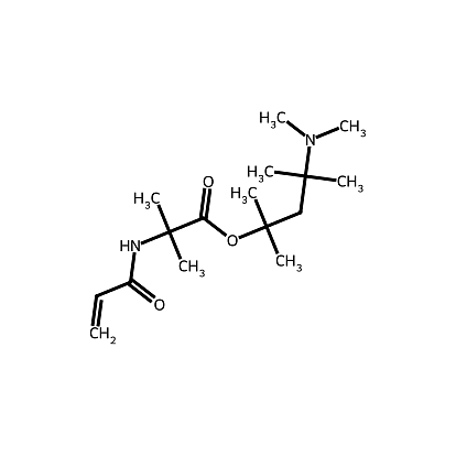 C=CC(=O)NC(C)(C)C(=O)OC(C)(C)CC(C)(C)N(C)C